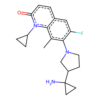 Cc1c(N2CCC(C3(N)CC3)C2)c(F)cc2ccc(=O)n(C3CC3)c12